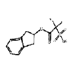 O=C(OC1Cc2ccccc2C1)C(F)(F)S(=O)(=O)O